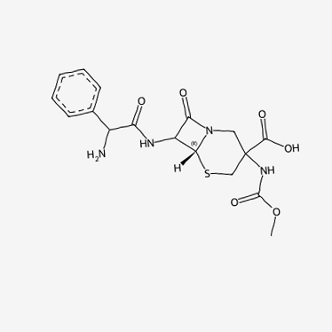 COC(=O)NC1(C(=O)O)CS[C@@H]2C(NC(=O)C(N)c3ccccc3)C(=O)N2C1